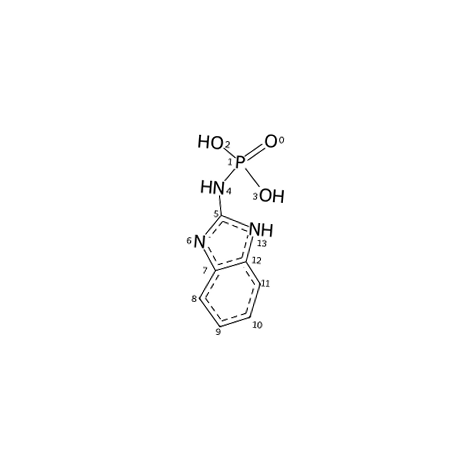 O=P(O)(O)Nc1nc2ccccc2[nH]1